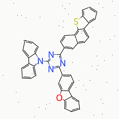 c1ccc2c(c1)oc1cc(-c3nc(-c4ccc5c(ccc6c7ccccc7sc56)c4)nc(-n4c5ccccc5c5ccccc54)n3)ccc12